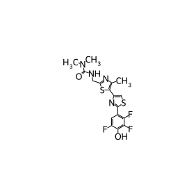 Cc1nc(CNC(=O)N(C)C)sc1-c1csc(-c2cc(F)c(O)c(F)c2F)n1